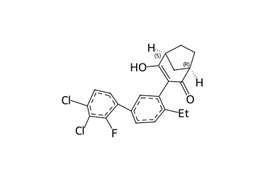 CCc1ccc(-c2ccc(Cl)c(Cl)c2F)cc1C1=C(O)[C@H]2CC[C@H](C2)C1=O